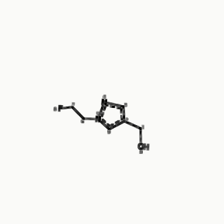 OCc1cnn(CCF)c1